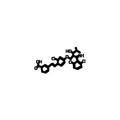 CC(C)C(O)C(COC1=CC(Cl)C(/C=C/C2=CC(C(=O)O)CC=C2)C=C1)C(=N)c1c(Cl)cccc1Cl